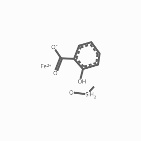 C[SiH2][O-].O=C([O-])c1ccccc1O.[Fe+2]